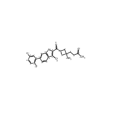 CC(=O)CCC1(N)CN(C(=O)c2sc3cc(-c4cc(F)ccc4F)ccc3c2Cl)C1